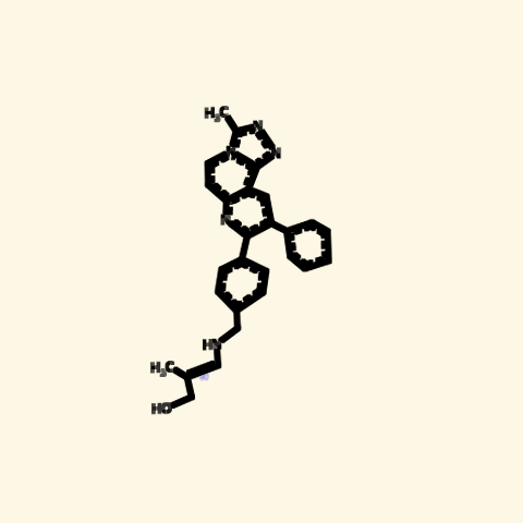 C/C(=C\NCc1ccc(-c2nc3ccn4c(C)nnc4c3cc2-c2ccccc2)cc1)CO